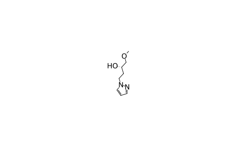 COC[C@@H](O)CCn1cccn1